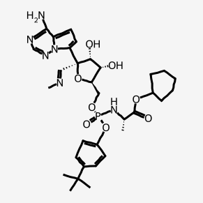 CN=C[C@@]1(c2ccc3c(N)ncnn23)O[C@H](COP(=O)(N[C@@H](C)C(=O)OC2CCCCC2)Oc2ccc(C(C)(C)C)cc2)[C@@H](O)[C@H]1O